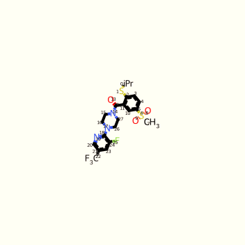 CC(C)Sc1ccc(S(C)(=O)=O)cc1C(=O)N1CCN(c2ncc(C(F)(F)F)cc2F)CC1